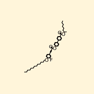 CCCCCCCCCCCCCOc1ccc(C#CC(=O)Oc2ccc(-c3ccc(C(=O)OC(C)CCCCCC)cc3)cc2)cc1F